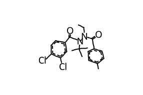 CCN(C(=O)c1ccc(C)cc1)N(C(=O)c1ccc(Cl)c(Cl)c1)C(C)(C)C